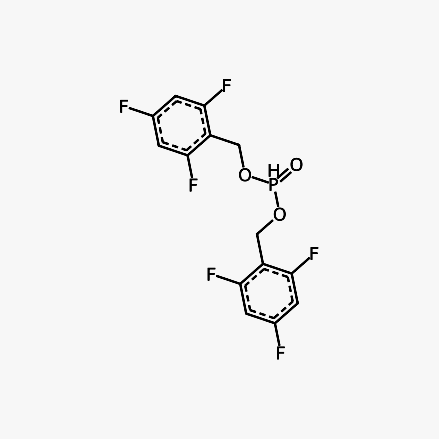 O=[PH](OCc1c(F)cc(F)cc1F)OCc1c(F)cc(F)cc1F